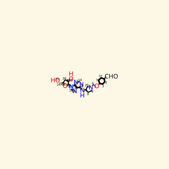 O=Cc1ccc(OCN2CCC(Nc3ncnc4c3ncn4[C@@H]3O[C@H](CO)C[C@H]3O)C2)cc1